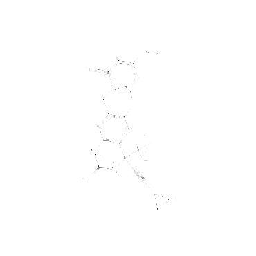 COc1cnn(Cc2cc3c(cc2F)C(C#CC2CC2)(C(C)(F)F)NC(=O)N3)c(=O)c1